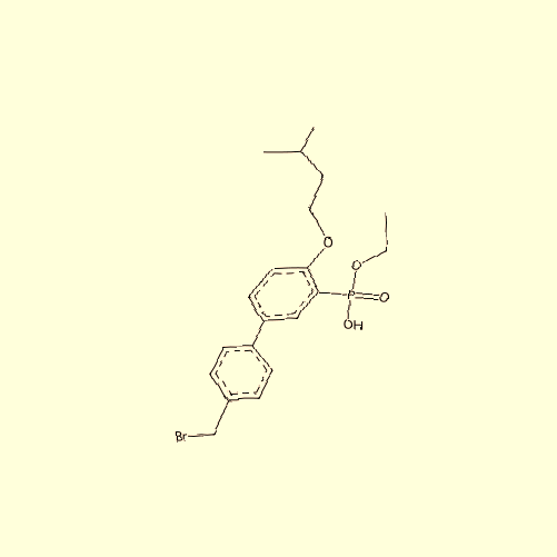 CCOP(=O)(O)c1cc(-c2ccc(CBr)cc2)ccc1OCCC(C)C